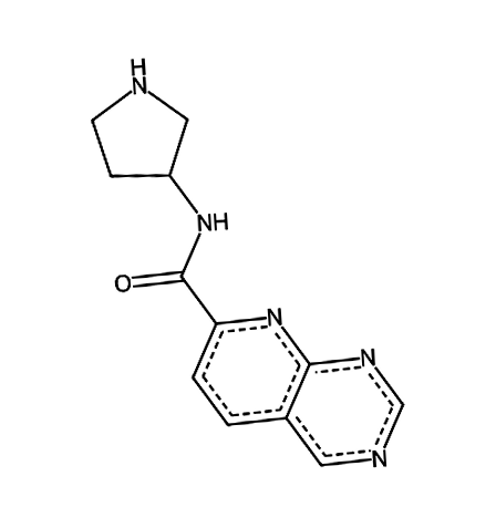 O=C(NC1CCNC1)c1ccc2cncnc2n1